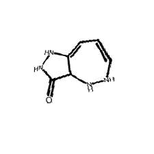 O=C1NNC2=CC=CNNC12